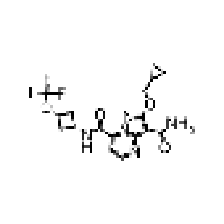 NC(=O)c1c(OCC2CC2)nn2c(C(=O)N[C@H]3C[C@@H](OC(F)(F)F)C3)ccnc12